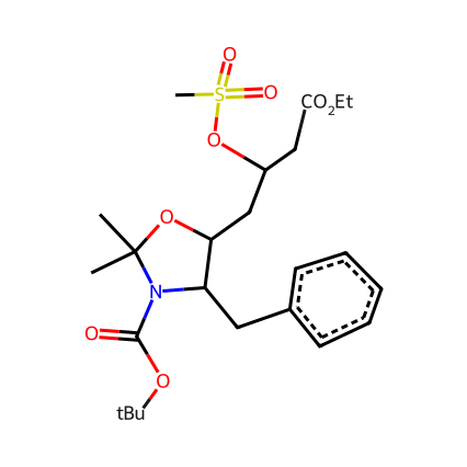 CCOC(=O)CC(CC1OC(C)(C)N(C(=O)OC(C)(C)C)C1Cc1ccccc1)OS(C)(=O)=O